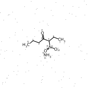 CCCC(=O)C(CC)[N+](=O)[O-].N